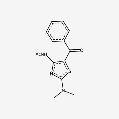 [CH2]C(=O)Nc1nc(N(C)C)sc1C(=O)c1ccccc1